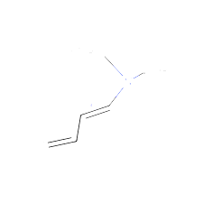 C=C/C=C/N(CCCCC)CCCCC